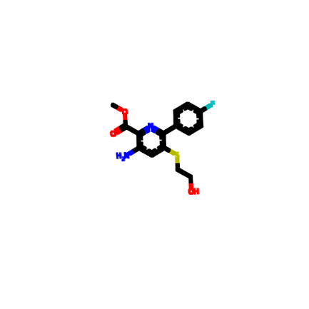 COC(=O)c1nc(-c2ccc(F)cc2)c(SCCO)cc1N